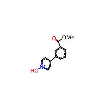 COC(=O)c1cccc(-c2cc[n+](O)cc2)c1